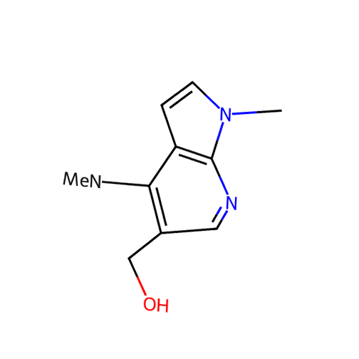 CNc1c(CO)cnc2c1ccn2C